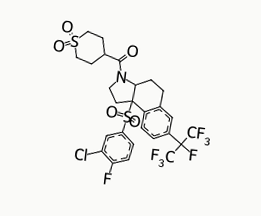 O=C(C1CCS(=O)(=O)CC1)N1CCC2(S(=O)(=O)c3ccc(F)c(Cl)c3)c3ccc(C(F)(C(F)(F)F)C(F)(F)F)cc3CCC12